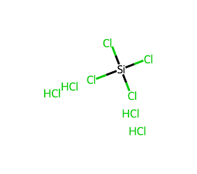 Cl.Cl.Cl.Cl.Cl[Si](Cl)(Cl)Cl